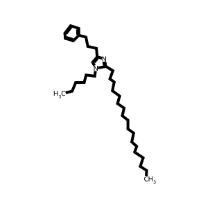 CCCCCCCCCCCCCCCCCCc1nc(CCCc2ccccc2)cn1CCCCCC